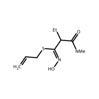 C=CCSC(=NO)C(CC)C(=O)NC